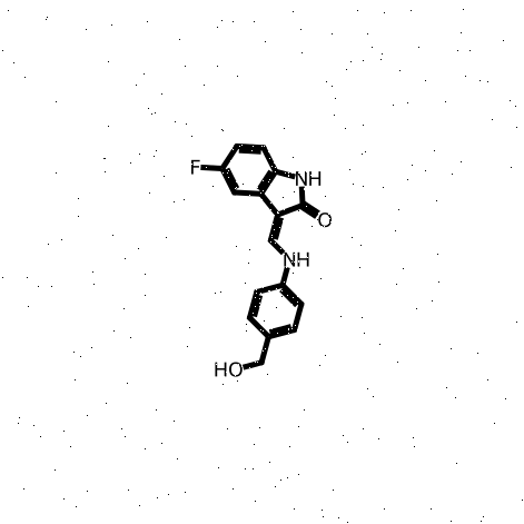 O=C1Nc2ccc(F)cc2C1=CNc1ccc(CO)cc1